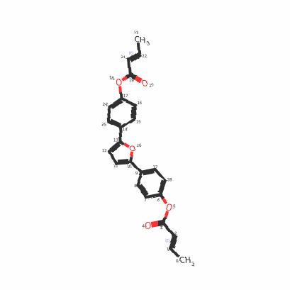 C/C=C/C(=O)Oc1ccc(-c2ccc(-c3ccc(OC(=O)/C=C/C)cc3)o2)cc1